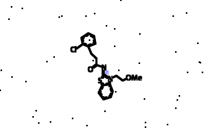 COCCn1/c(=N/C(=O)CCc2ccccc2Cl)sc2ccccc21